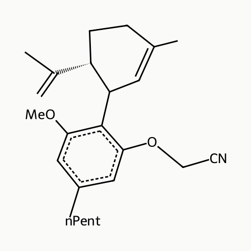 C=C(C)[C@@H]1CCC(C)=CC1c1c(OC)cc(CCCCC)cc1OCC#N